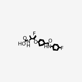 CC(NC(=O)O)C(=CF)Oc1ccc(C(=O)Nc2ccc(F)cc2)cc1